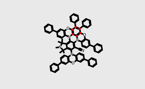 CN1C(C)(C)c2c(N3c4ccc(-c5ccccc5)cc4Oc4cc(-c5ccccc5)ccc43)c(C#N)c(N3c4ccc(-c5ccccc5)cc4Oc4cc(-c5ccccc5)ccc43)c(N3c4ccc(-c5ccccc5)cc4Oc4cc(-c5ccccc5)ccc43)c2C1(C)C